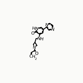 C=CC(=O)N1CC(CNc2cc(-c3cnccn3)c[nH]c2=O)C1